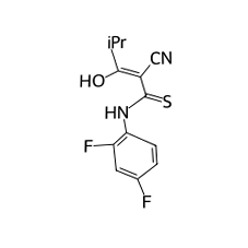 CC(C)C(O)=C(C#N)C(=S)Nc1ccc(F)cc1F